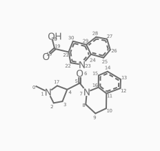 CN1CCC(C(=O)N2CCCc3ccccc32)C1.O=C(O)c1cnc2ccccc2c1